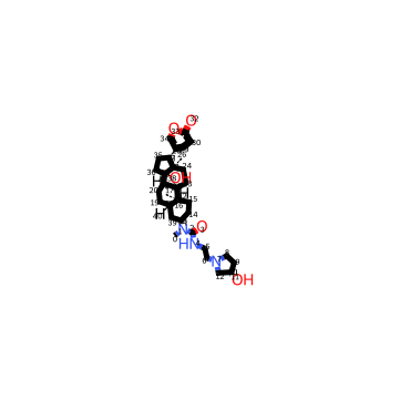 CN(C(=O)NCCN1CC[C@@H](O)C1)[C@H]1CC[C@@]2(C)[C@H](CC[C@@H]3[C@@H]2CC[C@]2(C)[C@@H](c4ccc(=O)oc4)CC[C@]32O)C1